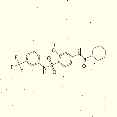 COc1cc(NC(=O)C2CCCCC2)ccc1S(=O)(=O)Nc1cccc(C(F)(F)F)c1